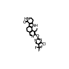 O=C1NCCc2[nH]c3c(c21)CCc1cnc(Oc2ncc(C(F)(F)F)c(Cl)n2)c(F)c1-3